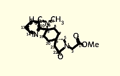 COC(=O)CN1C[C@]2(CC[C@](c3ccccn3)(N(C)C)CC2)CC1=O